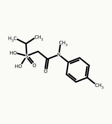 Cc1ccc(N(C)C(=O)CS(=O)(O)(O)C(C)C)cc1